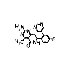 Cc1nc(N)nc2c1C(=O)NC(c1ccc(F)cc1-c1cncnc1)C2